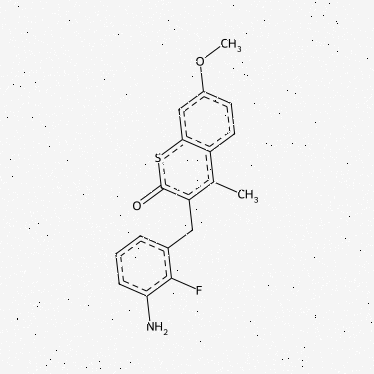 COc1ccc2c(C)c(Cc3cccc(N)c3F)c(=O)sc2c1